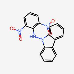 O=[N+]([O-])c1cccc([N+](=O)[O-])c1Nn1c2ccccc2c2ccccc21